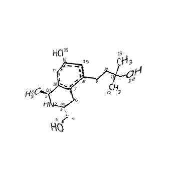 C[C@@H]1N[C@@H](CO)Cc2c(CCC(C)(C)O)cccc21.Cl